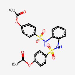 CC(C)(C)C(=O)Oc1ccc(S(=O)(=O)Nc2ccccc2NS(=O)(=O)c2ccc(OC(=O)C(C)(C)C)cc2)cc1